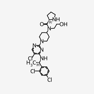 C[C@@H](Nc1nc(N2CCC(N(CCO)C(=O)[C@H]3CCCN3)CC2)ncc1Cl)c1ccc(Cl)cc1Cl